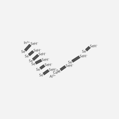 [Al+3].[Ga+3].[In+3].[Se]=[SeH-].[Se]=[SeH-].[Se]=[SeH-].[Se]=[SeH-].[Se]=[SeH-].[Se]=[SeH-].[Se]=[SeH-].[Se]=[SeH-].[Se]=[SeH-]